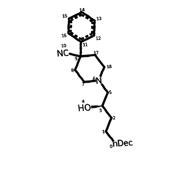 CCCCCCCCCCCC[C@@H](O)CN1CCC(C#N)(c2ccccc2)CC1